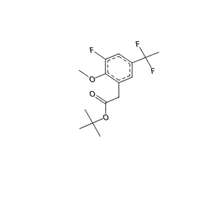 COc1c(F)cc(C(C)(F)F)cc1CC(=O)OC(C)(C)C